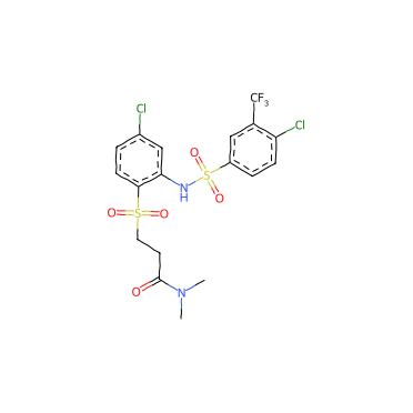 CN(C)C(=O)CCS(=O)(=O)c1ccc(Cl)cc1NS(=O)(=O)c1ccc(Cl)c(C(F)(F)F)c1